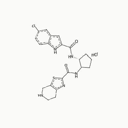 Cl.O=C(N[C@@H]1CCCC1NC(=O)c1nc2c(s1)CNCC2)c1cc2cc(Cl)ccc2[nH]1